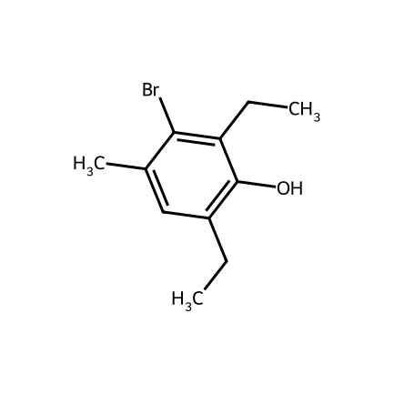 CCc1cc(C)c(Br)c(CC)c1O